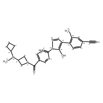 C=C(/N=C\C(=C/C)C(=O)N1CC(N(C)C2CCC2)C1)n1ncc(-c2ccc(C#N)cc2C)c1O